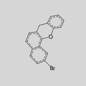 Brc1ccc2ccc3c(c2c1)Oc1ccccc1C3